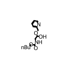 CCCCOC(=O)NCC(O)OCc1ccccn1